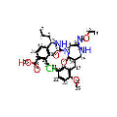 CCC[C@@H](NC(=O)N1C/C(=N/OCC)NC[C@@H](Cc2cc(Cl)ccc2OC)C1=O)c1ccc(C(=O)O)c(C)c1